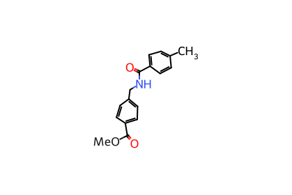 COC(=O)c1ccc(CNC(=O)c2ccc(C)cc2)cc1